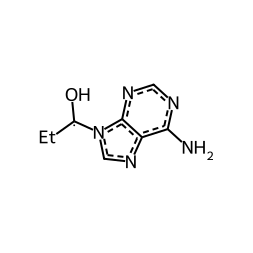 CC[C](O)n1cnc2c(N)ncnc21